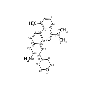 Cc1cccc(C(=O)N(C)C)c1-c1ccc2nc(N)c(N3CCOCC3)cc2c1